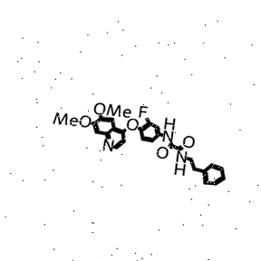 COc1cc2nccc(Oc3ccc(NC(=O)C(=O)NCCc4ccccc4)cc3F)c2cc1OC